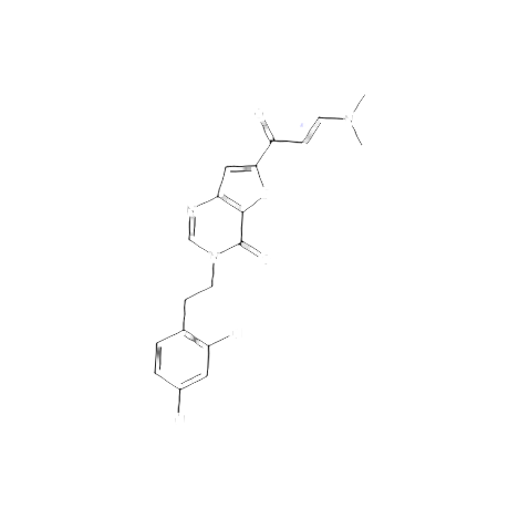 CN(C)/C=C/C(=O)c1cc2ncn(CCc3ccc(Cl)cc3Cl)c(=O)c2s1